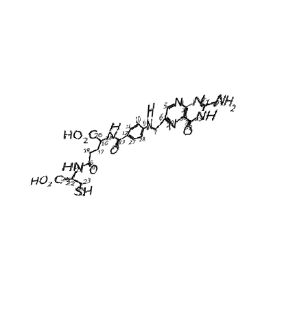 Nc1nc2ncc(CNc3ccc(C(=O)NC(CCC(=O)N[C@@H](CS)C(=O)O)C(=O)O)cc3)nc2c(=O)[nH]1